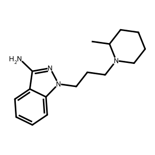 CC1CCCCN1CCCn1nc(N)c2ccccc21